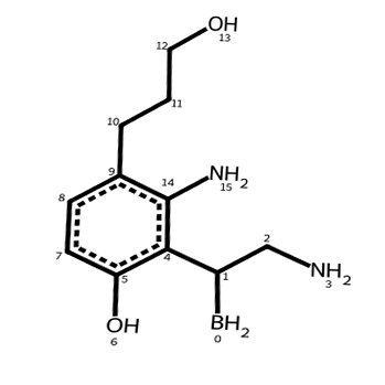 BC(CN)c1c(O)ccc(CCCO)c1N